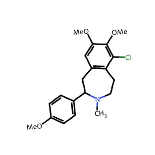 COc1ccc(C2Cc3cc(OC)c(OC)c(Cl)c3CCN2C)cc1